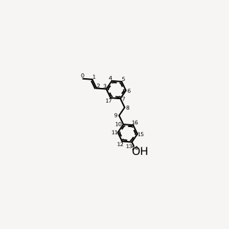 C/C=C/c1cccc(CCc2ccc(O)cc2)c1